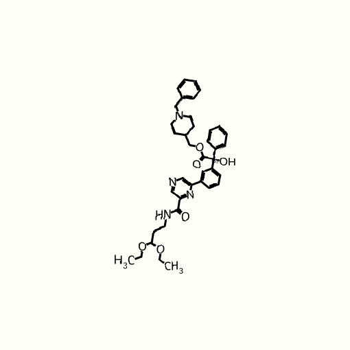 CCOC(CCNC(=O)c1cncc(-c2cccc([C@](O)(C(=O)OCC3CCN(Cc4ccccc4)CC3)c3ccccc3)c2)n1)OCC